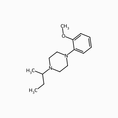 CCC(C)N1CCN(c2ccccc2OC)CC1